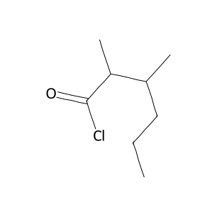 CCCC(C)C(C)C(=O)Cl